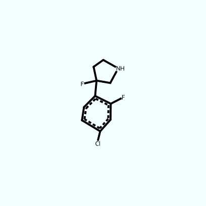 Fc1cc(Cl)ccc1C1(F)CCNC1